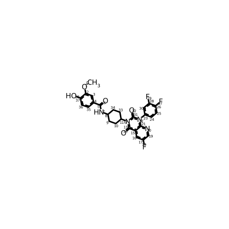 COc1cc(C(=O)NC2CCC(n3c(=O)c4cc(F)cnc4n(-c4ccc(F)c(F)c4)c3=O)CC2)ccc1O